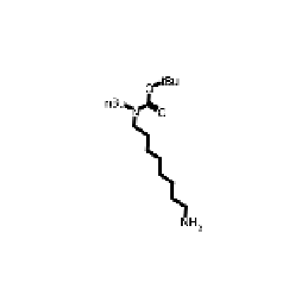 CCCCN(CCCCCCCCN)C(=O)OC(C)(C)C